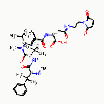 CN[C@H](C(=O)N[C@H](C(=O)N(C)[C@H](/C=C(\C)C(=O)N[C@H](CC(=O)NCCN1C(=O)C=CC1=O)C(=O)O)C(C)C)C(C)(C)C)C(C)(C)c1ccccc1